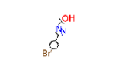 CC(C)(O)Cn1cc(-c2ccc(Br)cc2)cn1